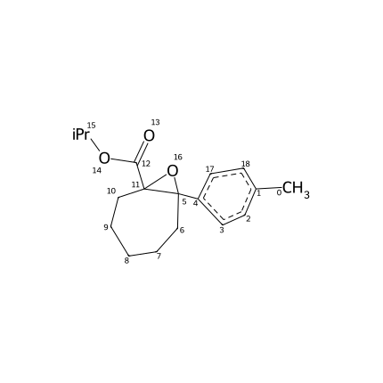 Cc1ccc(C23CCCCCC2(C(=O)OC(C)C)O3)cc1